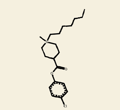 CCCCCCC[Si]1(C)CCC(C(=O)Oc2ccc(Cl)cc2)CC1